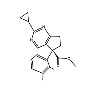 COC(=O)[C@]1(c2cccc(F)c2C)CCc2nc(C3CC3)ncc21